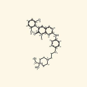 CCO[PH]1(O)CCN(CCOc2ccc(Nc3ncc4cc(-c5c(Cl)cccc5Cl)c(=O)n(C)c4n3)nn2)CC1